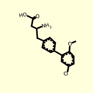 COc1ccc(Cl)cc1-c1ccc(CC(N)CC(=O)O)cc1